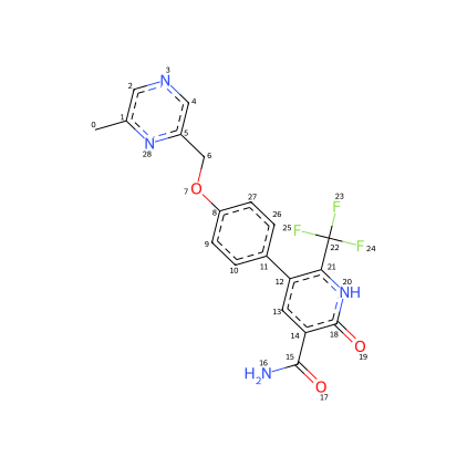 Cc1cncc(COc2ccc(-c3cc(C(N)=O)c(=O)[nH]c3C(F)(F)F)cc2)n1